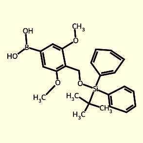 COc1cc(B(O)O)cc(OC)c1CO[Si](c1ccccc1)(c1ccccc1)C(C)(C)C